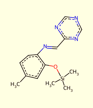 Cc1ccc(/N=C/c2ncncn2)c(O[Si](C)(C)C)c1